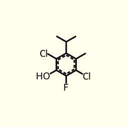 Cc1c(Cl)c(F)c(O)c(Cl)c1C(C)C